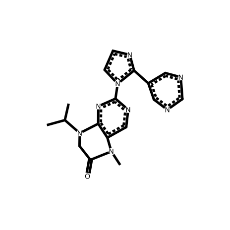 CC(C)N1CC(=O)N(C)c2cnc(-n3ccnc3-c3cncnc3)nc21